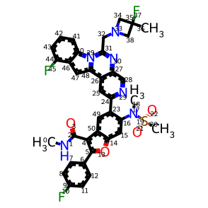 CNC(=O)c1c(-c2ccc(F)cc2)oc2cc(N(C)S(C)(=O)=O)c(-c3cc4c(cn3)nc(CN3CC(C)(F)C3)n3c5cccc(F)c5cc43)cc12